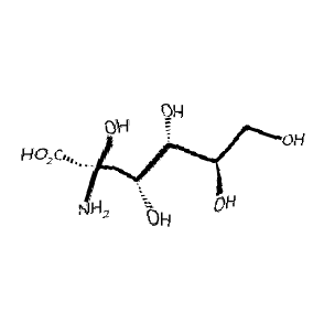 N[C@](O)(C(=O)O)[C@@H](O)[C@H](O)[C@H](O)CO